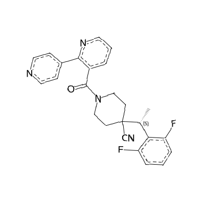 C[C@H](c1c(F)cccc1F)C1(C#N)CCN(C(=O)c2cccnc2-c2ccncc2)CC1